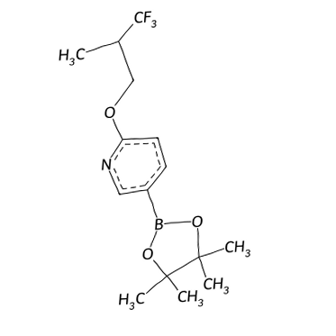 CC(COc1ccc(B2OC(C)(C)C(C)(C)O2)cn1)C(F)(F)F